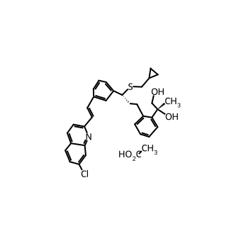 CC(=O)O.C[C@](O)(CO)c1ccccc1CC[C@@H](SCC1CC1)c1cccc(/C=C/c2ccc3ccc(Cl)cc3n2)c1